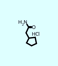 Cl.NC(=O)CC1CCCC1